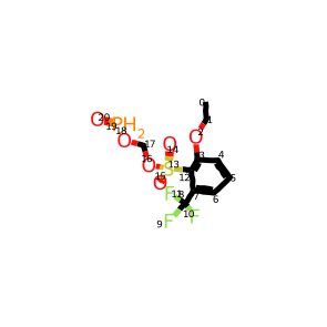 CCOc1cccc(C(F)(F)F)c1S(=O)(=O)OCO[PH2]=O